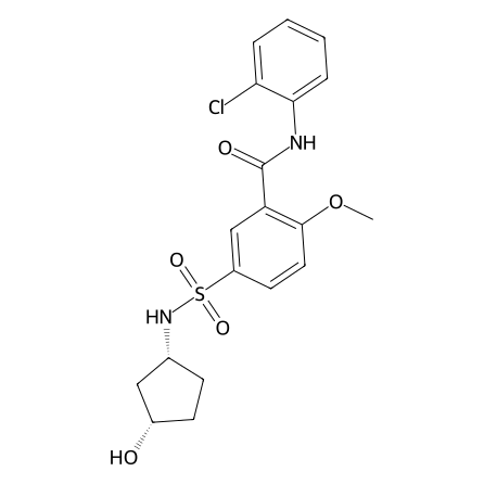 COc1ccc(S(=O)(=O)N[C@@H]2CC[C@H](O)C2)cc1C(=O)Nc1ccccc1Cl